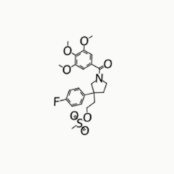 COc1cc(C(=O)N2CCC(CCOS(C)(=O)=O)(c3ccc(F)cc3)C2)cc(OC)c1OC